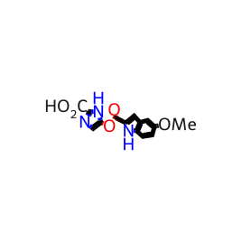 COc1ccc2[nH]c(C(=O)Oc3cnc(C(=O)O)[nH]3)cc2c1